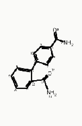 NC(=O)c1ccc(-c2ccccc2C(N)=O)cc1